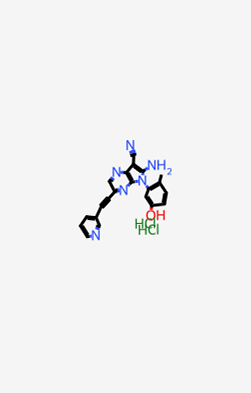 Cc1ccc(O)cc1-n1c(N)c(C#N)c2ncc(C#Cc3cccnc3)nc21.Cl.Cl